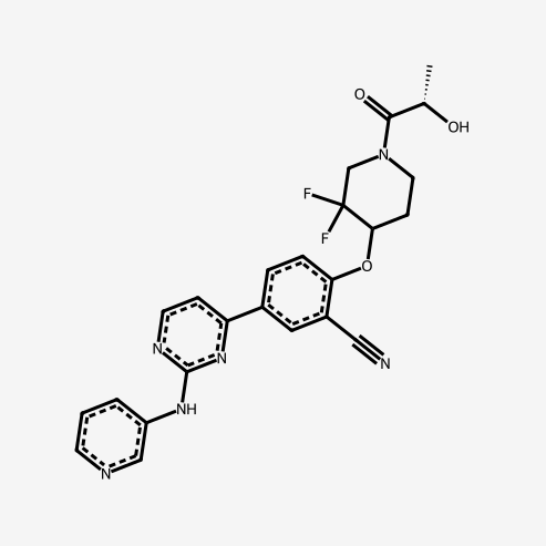 C[C@H](O)C(=O)N1CCC(Oc2ccc(-c3ccnc(Nc4cccnc4)n3)cc2C#N)C(F)(F)C1